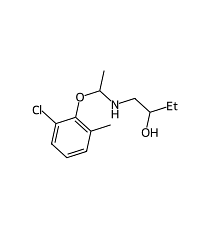 CCC(O)CNC(C)Oc1c(C)cccc1Cl